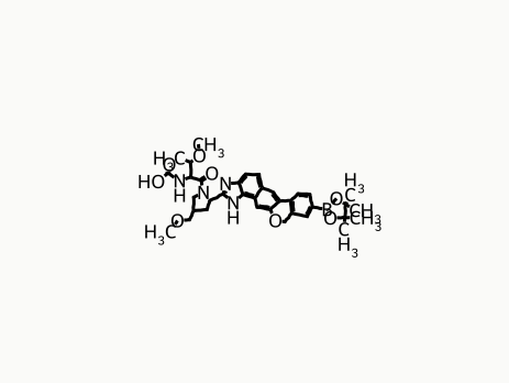 COCC1CC(c2nc3ccc4cc5c(cc4c3[nH]2)OCc2cc(B3OC(C)(C)C(C)(C)O3)ccc2-5)N(C(=O)C(NC(=O)O)C(C)OC)C1